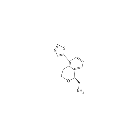 NC[C@H]1OCCc2c(-c3cncs3)cccc21